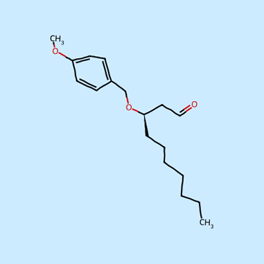 CCCCCCC[C@H](CC=O)OCc1ccc(OC)cc1